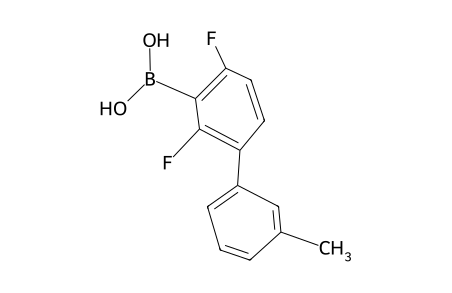 Cc1cccc(-c2ccc(F)c(B(O)O)c2F)c1